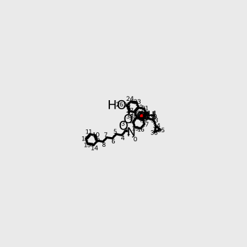 CN(C(=O)CCCCCc1ccccc1)C1CC[C@@]2(O)[C@H]3Cc4ccc(O)c5c4[C@@]2(CCN3CC2CC2)C1O5